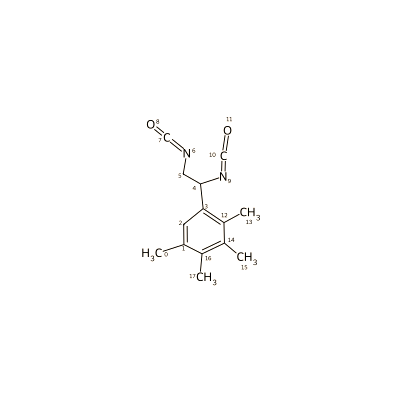 Cc1cc(C(CN=C=O)N=C=O)c(C)c(C)c1C